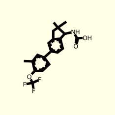 Cc1cc(-c2ccc3c(c2)CC(C)(C)C3NC(=O)O)ccc1OC(F)(F)F